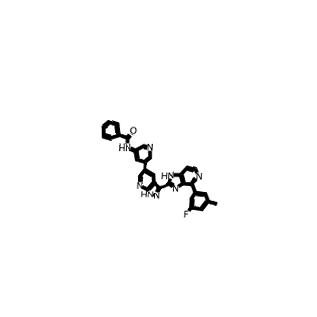 Cc1cc(F)cc(-c2nccc3[nH]c(-c4n[nH]c5ncc(-c6cncc(NC(=O)c7ccccc7)c6)cc45)nc23)c1